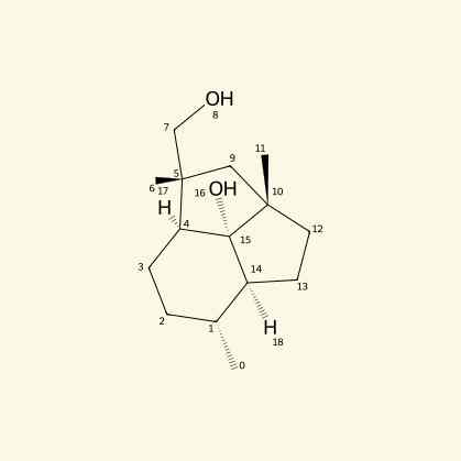 C[C@@H]1CC[C@H]2[C@](C)(CO)C[C@]3(C)CC[C@@H]1[C@@]23O